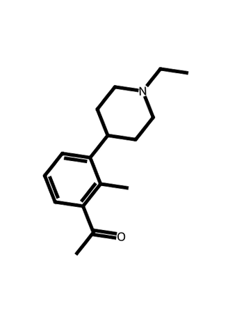 CCN1CCC(c2cccc(C(C)=O)c2C)CC1